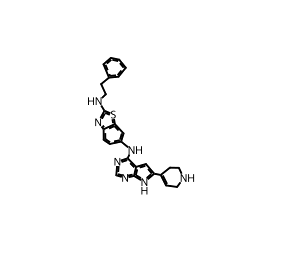 C1=C(c2cc3c(Nc4ccc5nc(NCCc6ccccc6)sc5c4)ncnc3[nH]2)CCNC1